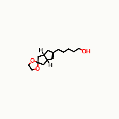 OCCCCCC1=C[C@@H]2CC3(C[C@@H]2C1)OCCO3